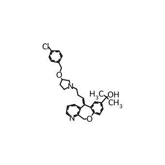 CC(C)(O)c1ccc2c(c1)/C(=C/CCN1CC[C@@H](OCc3ccc(Cl)cc3)C1)c1cccnc1CO2